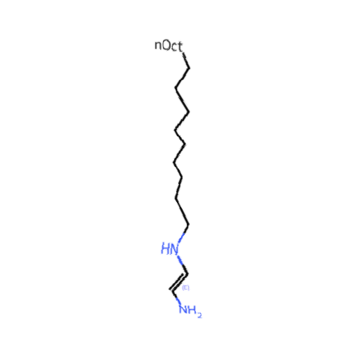 CCCCCCCCCCCCCCCCCN/C=C/N